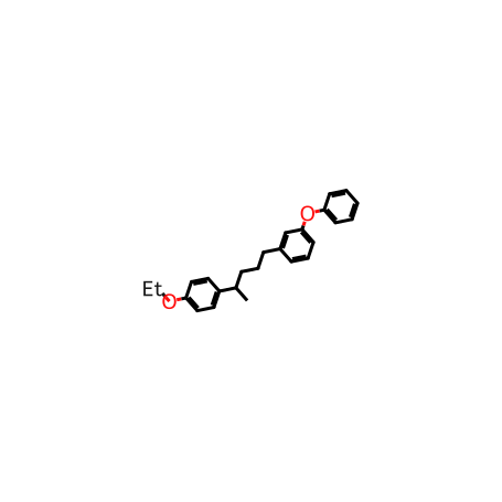 CCOc1ccc(C(C)CCCc2cccc(Oc3ccccc3)c2)cc1